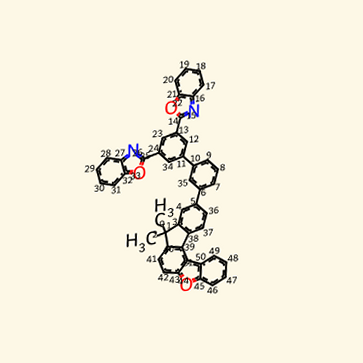 CC1(C)c2cc(-c3cccc(-c4cc(-c5nc6ccccc6o5)cc(-c5nc6ccccc6o5)c4)c3)ccc2-c2c1ccc1oc3ccccc3c21